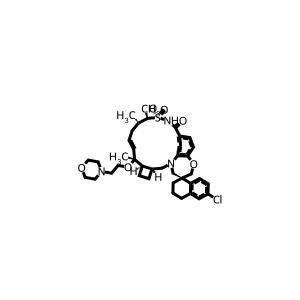 C[C@@H]1[C@@H](C)C/C=C/[C@@](C)(OCCN2CCOCC2)[C@@H]2CC[C@H]2CN2C[C@@]3(CCCc4cc(Cl)ccc43)COc3ccc(cc32)C(=O)NS1(=O)=O